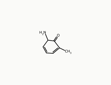 CC1=CC=CC(N)C1=O